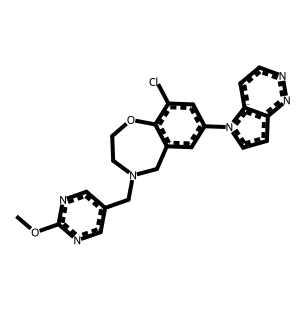 COc1ncc(CN2CCOc3c(Cl)cc(-n4ccc5nnccc54)cc3C2)cn1